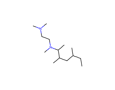 CCC(C)CC(C)C(C)N(C)CCN(C)C